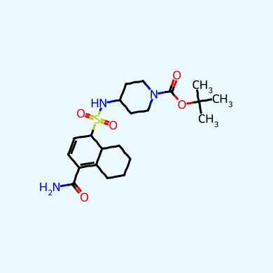 CC(C)(C)OC(=O)N1CCC(NS(=O)(=O)C2C=CC(C(N)=O)=C3CCCCC32)CC1